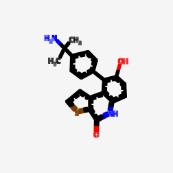 CC(C)(N)c1ccc(-c2c(O)ccc3[nH]c(=O)c4sccc4c23)cc1